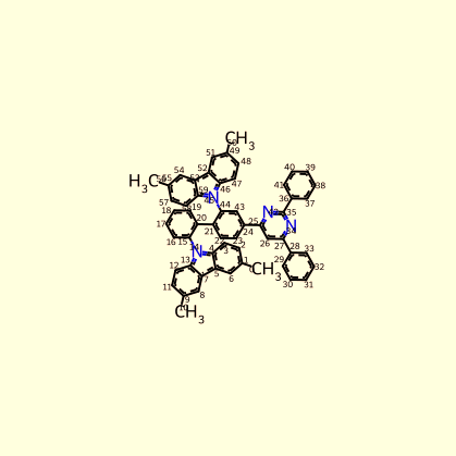 Cc1ccc2c(c1)c1cc(C)ccc1n2-c1ccccc1-c1ccc(-c2cc(-c3ccccc3)nc(-c3ccccc3)n2)cc1-n1c2ccc(C)cc2c2cc(C)ccc21